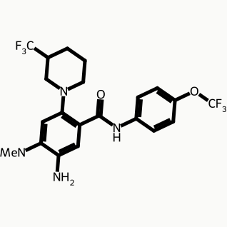 CNc1cc(N2CCCC(C(F)(F)F)C2)c(C(=O)Nc2ccc(OC(F)(F)F)cc2)cc1N